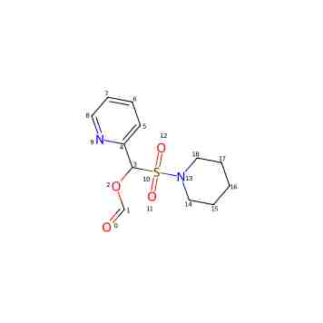 O=COC(c1ccccn1)S(=O)(=O)N1CCCCC1